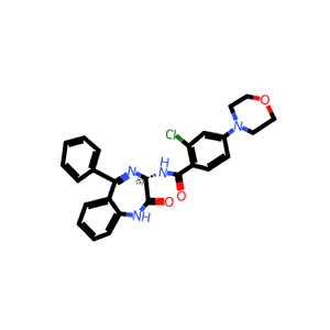 O=C(N[C@H]1N=C(c2ccccc2)c2ccccc2NC1=O)c1ccc(N2CCOCC2)cc1Cl